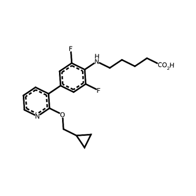 O=C(O)CCCCNc1c(F)cc(-c2cccnc2OCC2CC2)cc1F